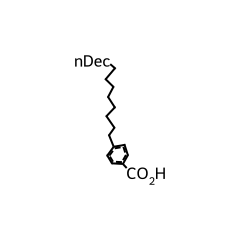 CCCCCCCCCCCCCCCCCCc1ccc(C(=O)O)cc1